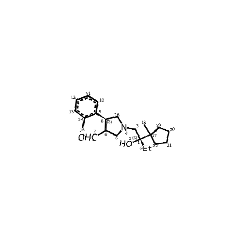 CC[C@@](O)(CN1CC(C=O)[C@@H](c2ccccc2C)C1)C1(C)CCCC1